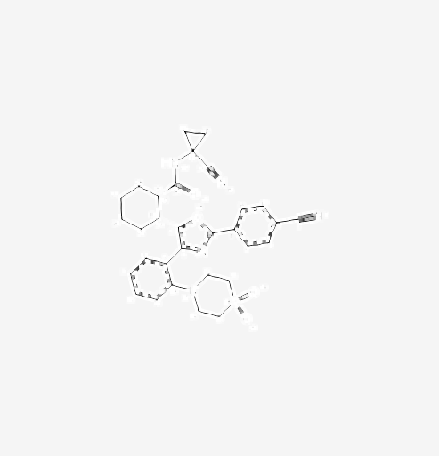 N#Cc1ccc(-c2nc(-c3ccccc3N3CCS(=O)(=O)CC3)c([C@@H]3CCCC[C@H]3C(=O)NC3(C#N)CC3)o2)cc1